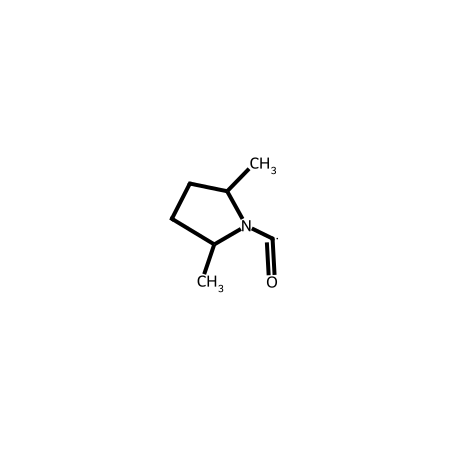 CC1CCC(C)N1[C]=O